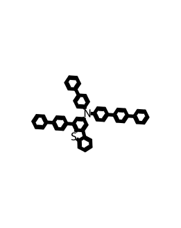 c1ccc(-c2ccc(-c3ccc(N(c4ccc(-c5ccccc5)cc4)c4cc(-c5ccc(-c6ccccc6)cc5)c5sc6ccccc6c5c4)cc3)cc2)cc1